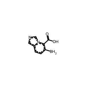 Bc1ccc2cncn2c1C(=O)O